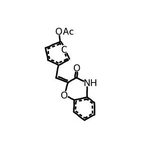 CC(=O)Oc1ccc(/C=C2/Oc3ccccc3NC2=O)cc1